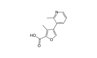 Cc1ncccc1-c1coc(C(=O)O)c1C